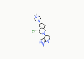 C[C@H]1CN(c2ccnc3c2cnn3C)Cc2ccc(N3CC[N+](C)(C)CC3)cc21.[Cl-]